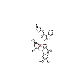 COc1ccc([C@H](Cc2c(Cl)c[n+](O)cc2Cl)c2cc(CNC(C(=O)O[C@@H]3CCN(C)C3)c3ccccc3)sc2C(=O)[O-])cc1OC